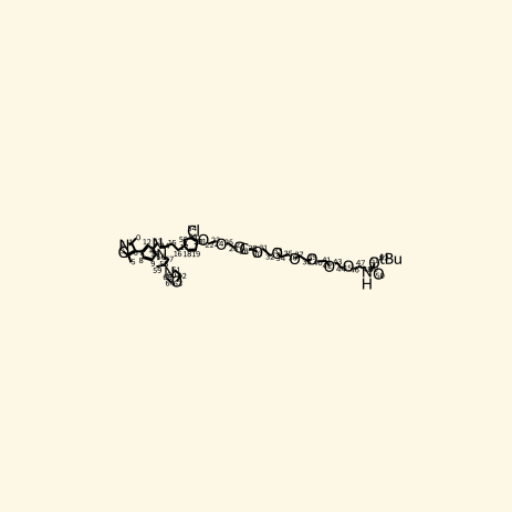 Cc1noc(C)c1-c1ccc2c(c1)nc(CCc1ccc(OCCOCCOCCOCCOCCOCCOCCOCCOCCNC(=O)OC(C)(C)C)c(Cl)c1)n2CC(C)N1CCOCC1